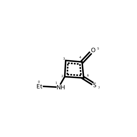 CCNc1cc(=O)c1=S